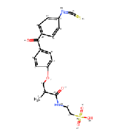 CC(COc1ccc(C(=O)c2ccc(N=C=S)cc2)cc1)C(=O)NCCS(=O)(=O)O